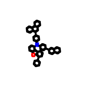 c1ccc(-c2cccc3c2oc2cccc(N(c4ccc(-c5ccc6ccccc6c5)cc4)c4ccc(-c5cc6ccccc6c6ccccc56)cc4)c23)cc1